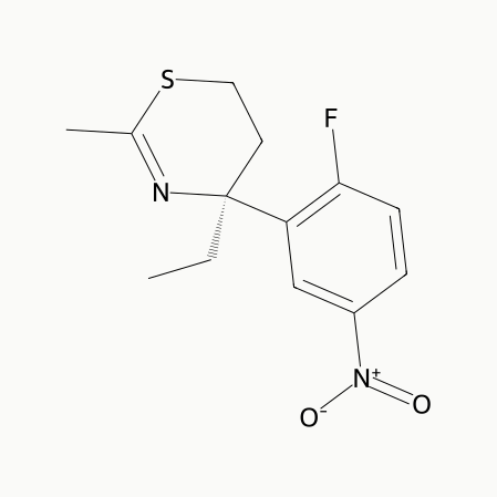 CC[C@@]1(c2cc([N+](=O)[O-])ccc2F)CCSC(C)=N1